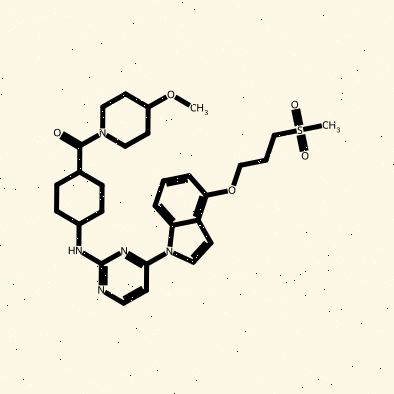 COC1CCN(C(=O)C2CCC(Nc3nccc(-n4ccc5c(OCCCS(C)(=O)=O)cccc54)n3)CC2)CC1